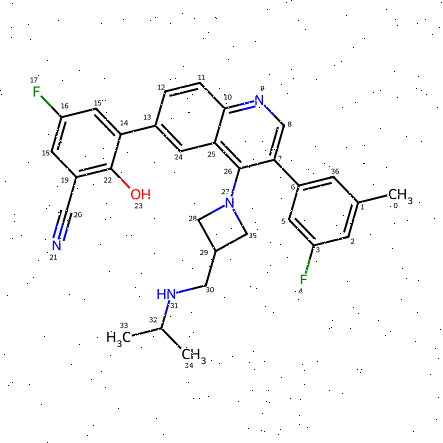 Cc1cc(F)cc(-c2cnc3ccc(-c4cc(F)cc(C#N)c4O)cc3c2N2CC(CNC(C)C)C2)c1